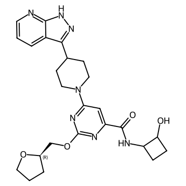 O=C(NC1CCC1O)c1cc(N2CCC(c3n[nH]c4ncccc34)CC2)nc(OC[C@H]2CCCO2)n1